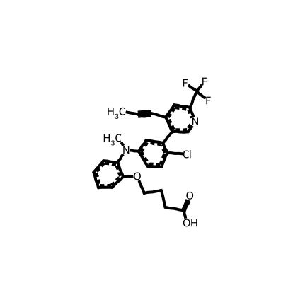 CC#Cc1cc(C(F)(F)F)ncc1-c1cc(N(C)c2ccccc2OCCCC(=O)O)ccc1Cl